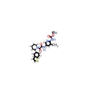 Cc1cc(NC(=O)C(=O)N2CCCC[C@H]2c2ccc3sccc3c2)cnc1NC(=O)OC(C)(C)C